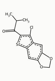 CC(C)C(=O)c1sc2cc3c(cc2c1Cl)OCO3